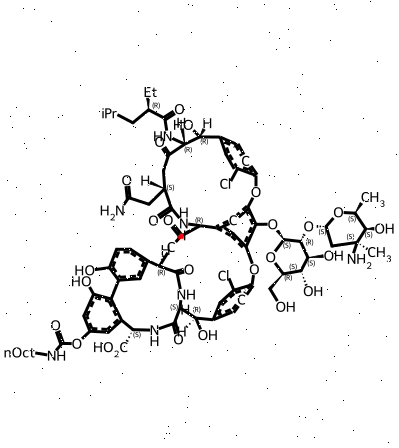 CCCCCCCCNC(=O)Oc1cc(O)c2c(c1)[C@@H](C(=O)O)NC(=O)[C@H]1NC(=O)[C@H](CC(=O)[C@@H]3NC(=O)[C@H](CC(N)=O)CC(=O)[C@H](NC(=O)[C@H](CC)CC(C)C)[C@H](O)c4ccc(c(Cl)c4)Oc4cc3cc(c4O[C@@H]3O[C@H](CO)[C@@H](O)[C@H](O)[C@H]3O[C@H]3C[C@](C)(N)[C@H](O)[C@H](C)O3)Oc3ccc(cc3Cl)[C@H]1O)c1ccc(O)c-2c1